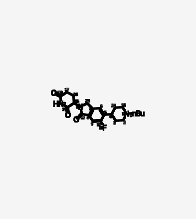 CCCCN1CCC(c2cc3c(cc2F)C(=O)N(C2CCC(=O)NC2=O)C3)CC1